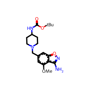 COc1cc(CN2CCC(NC(=O)OC(C)(C)C)CC2)cc2onc(N)c12